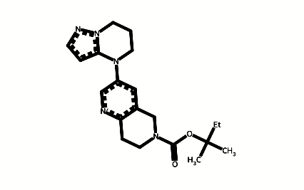 CCC(C)(C)OC(=O)N1CCc2ncc(N3CCCn4nccc43)cc2C1